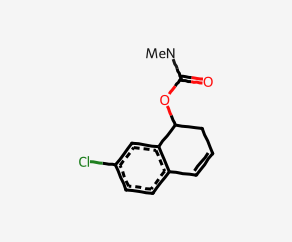 CNC(=O)OC1CC=Cc2ccc(Cl)cc21